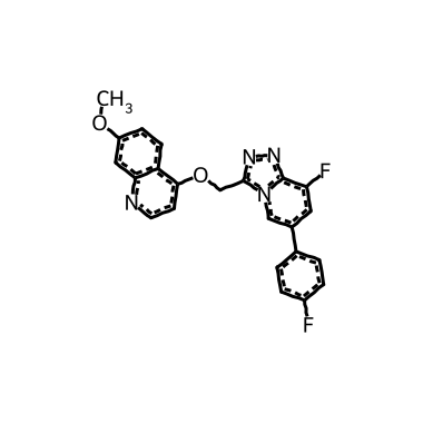 COc1ccc2c(OCc3nnc4c(F)cc(-c5ccc(F)cc5)cn34)ccnc2c1